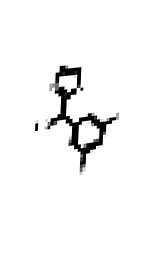 OC(c1cc(F)cc(F)c1)c1nccs1